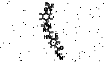 [N-]=[N+]=NC(=O)c1ccc(NCc2ncn(-c3ccc(OC(F)(F)F)cc3)n2)c(F)c1